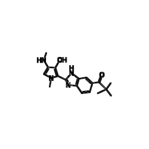 CNc1cn(C)c(-c2nc3ccc(C(=O)C(C)(C)C)cc3[nH]2)c1O